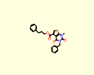 Cn1c(=O)n(Cc2ccccc2)c(=O)c2c(C(=O)OCCCc3ccccc3)csc21